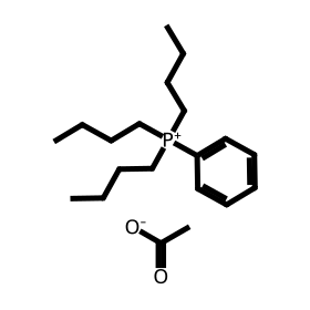 CC(=O)[O-].CCCC[P+](CCCC)(CCCC)c1ccccc1